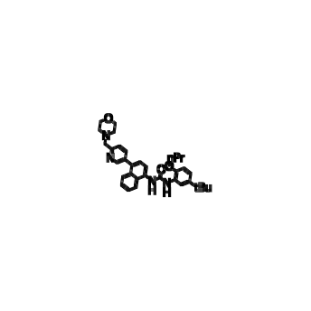 CCCOc1ccc(C(C)(C)C)cc1NC(=O)Nc1ccc(-c2ccc(CN3CCOCC3)nc2)c2ccccc12